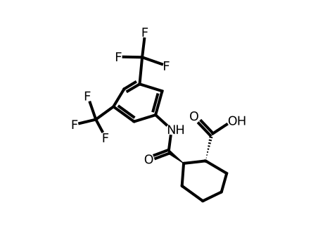 O=C(O)[C@@H]1CCCC[C@H]1C(=O)Nc1cc(C(F)(F)F)cc(C(F)(F)F)c1